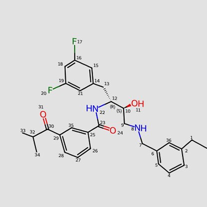 CCc1cccc(CNC[C@H](O)[C@@H](Cc2cc(F)cc(F)c2)NC(=O)c2cccc(C(=O)C(C)C)c2)c1